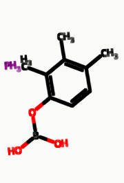 Cc1ccc(OB(O)O)c(C)c1C.P